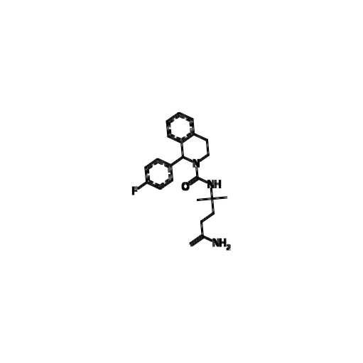 C=C(N)CCC(C)(C)NC(=O)N1CCc2ccccc2C1c1ccc(F)cc1